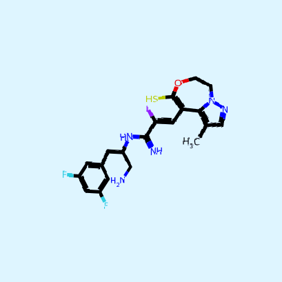 Cc1cnn2c1C(/C=C(\I)C(=N)NC(CN)Cc1cc(F)cc(F)c1)=C(S)OCC2